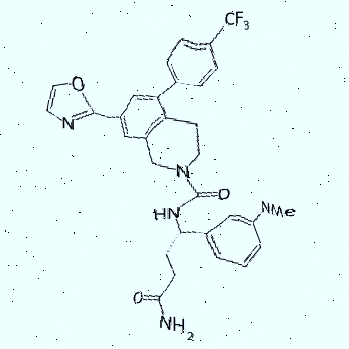 CNc1cccc([C@H](CCC(N)=O)NC(=O)N2CCc3c(cc(-c4ncco4)cc3-c3ccc(C(F)(F)F)cc3)C2)c1